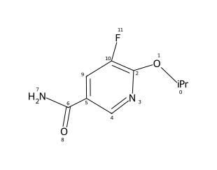 CC(C)Oc1ncc(C(N)=O)cc1F